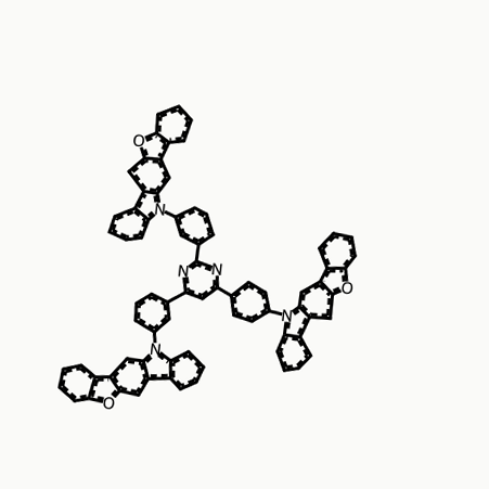 c1cc(-c2cc(-c3ccc(-n4c5ccccc5c5cc6oc7ccccc7c6cc54)cc3)nc(-c3cccc(-n4c5ccccc5c5cc6oc7ccccc7c6cc54)c3)n2)cc(-n2c3ccccc3c3cc4oc5ccccc5c4cc32)c1